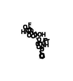 CC(C)[C@H](NC(=O)OCc1ccccc1)C(=O)OC[C@@H]1O[C@H](n2cc(F)c(=O)[nH]c2=O)CC1O